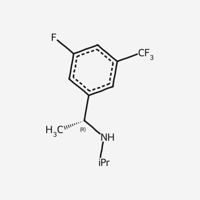 CC(C)N[C@H](C)c1cc(F)cc(C(F)(F)F)c1